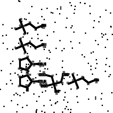 C[N+](C)(C)CCO.C[N+](C)(C)CCO.C[N+](C)(C)CCO.O=C(O)[C@@H]1CCCN1.O=C(O)[C@@H]1CCCN1.O=C([O-])CC(O)(CC(=O)[O-])C(=O)[O-]